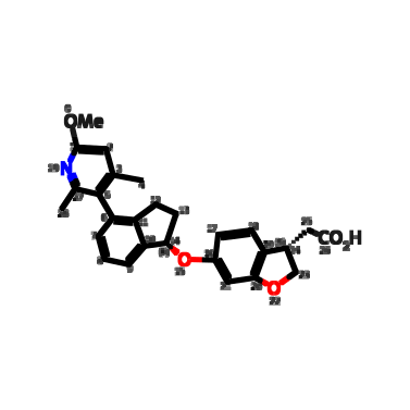 COc1cc(C)c(-c2cccc3c2CC[C@H]3Oc2ccc3c(c2)OC[C@H]3CC(=O)O)c(C)n1